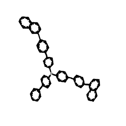 c1ccc(-c2ccc(N(c3ccc(-c4ccc(-c5ccc6ccccc6c5)cc4)cc3)c3ccc(-c4ccc(-c5cccc6ccccc56)cc4)cc3)cc2)cc1